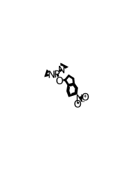 O=[N+]([O-])c1ccc2c(c1)CCC2OP(N1CC1)N1CC1